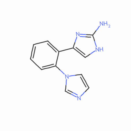 Nc1nc(-c2ccccc2-n2ccnc2)c[nH]1